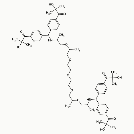 CC(COC(C)COCCOCCOCC(C)OCC(C)NC(c1ccc(C(=O)C(C)(C)O)cc1)c1ccc(C(=O)C(C)(C)O)cc1)NC(c1ccc(C(=O)C(C)(C)O)cc1)c1ccc(C(=O)C(C)(C)O)cc1